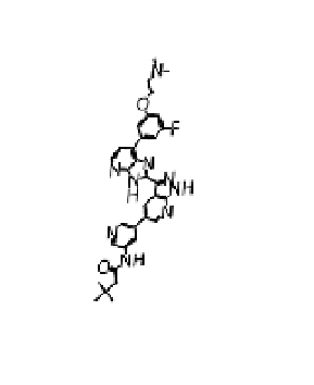 CN(C)CCOc1cc(F)cc(-c2ccnc3[nH]c(-c4n[nH]c5ncc(-c6cncc(NC(=O)CC(C)(C)C)c6)cc45)nc23)c1